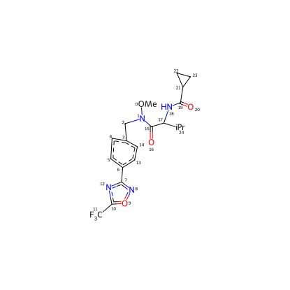 CON(Cc1ccc(-c2noc(C(F)(F)F)n2)cc1)C(=O)C(NC(=O)C1CC1)C(C)C